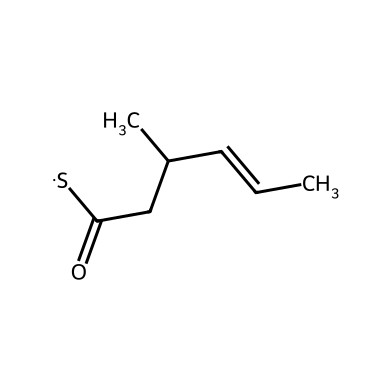 C/C=C/C(C)CC(=O)[S]